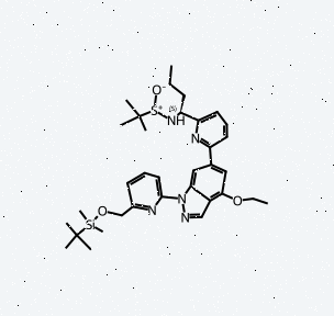 CCC[C@H](N[S+]([O-])C(C)(C)C)c1cccc(-c2cc(OCC)c3cnn(-c4cccc(CO[Si](C)(C)C(C)(C)C)n4)c3c2)n1